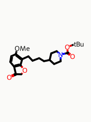 COc1ccc2c(c1CCCCC1CCN(C(=O)OC(C)(C)C)CC1)OCC2=O